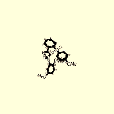 COc1ccc(S(=O)(=O)c2ccccc2-c2cn(-c3cc(OC)ccc3OC)nn2)cc1